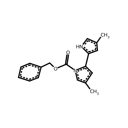 Cc1c[nH]c(-c2cc(C)cn2C(=O)OCc2ccccc2)c1